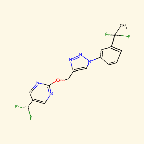 CC(F)(F)c1cccc(-n2cc(COc3ncc(C(F)F)cn3)nn2)c1